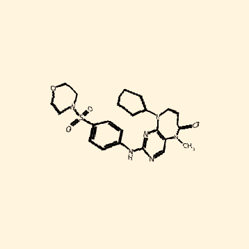 CN1C(=O)CCN(C2CCCC2)c2nc(Nc3ccc(S(=O)(=O)N4CCOCC4)cc3)ncc21